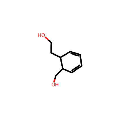 OCCC1C=CC=CC1CO